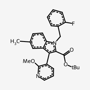 COc1ncccc1-c1c(C(=O)OC(C)(C)C)n(Cc2ccccc2F)c2ccc(C)cc12